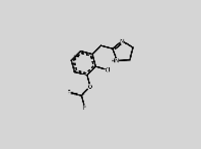 FC(F)Oc1cccc(CC2=NCCN2)c1Cl